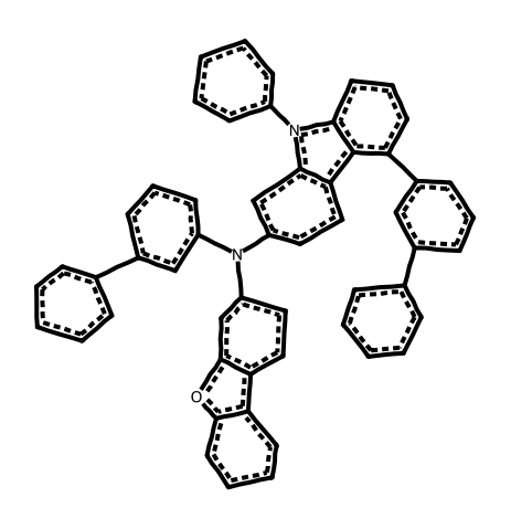 c1ccc(-c2cccc(-c3cccc4c3c3ccc(N(c5cccc(-c6ccccc6)c5)c5ccc6c(c5)oc5ccccc56)cc3n4-c3ccccc3)c2)cc1